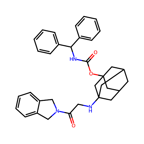 O=C(NC(c1ccccc1)c1ccccc1)OC12CC3CC(CC(NCC(=O)N4Cc5ccccc5C4)(C3)C1)C2